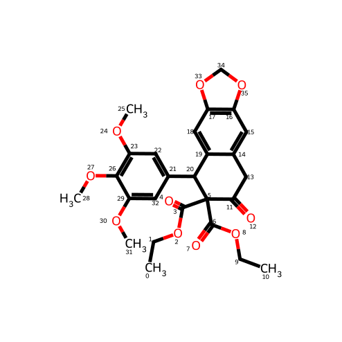 CCOC(=O)C1(C(=O)OCC)C(=O)Cc2cc3c(cc2C1c1cc(OC)c(OC)c(OC)c1)OCO3